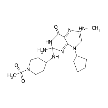 CNC1=CN(C2CCCC2)C2=NC(N)(NC3CCN(S(C)(=O)=O)CC3)NC(=O)C2=N1